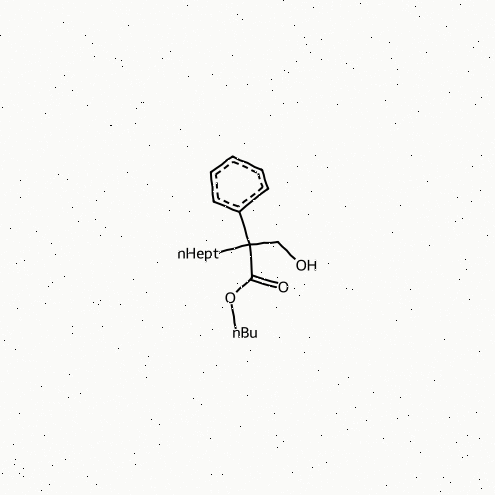 CCCCCCCC(CO)(C(=O)OCCCC)c1ccccc1